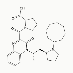 C[C@@H](C[C@@H]1CCCN1C1CCCCCCC1)n1c(=O)c(C(=O)N2CCCC2C(=O)O)nc2ccccc21